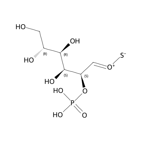 O=P(O)(O)O[C@H](C=[O+][S-])[C@@H](O)[C@H](O)[C@H](O)CO